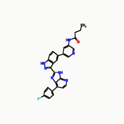 CCCC(=O)Nc1cncc(-c2ccc3[nH]nc(-c4nc5c(-c6ccc(F)cc6)ccnc5[nH]4)c3c2)c1